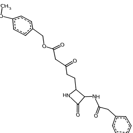 COc1ccc(COC(=O)CC(=O)CCC2NC(=O)C2NC(=O)Cc2ccccc2)cc1